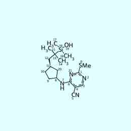 CSc1ncc(C#N)c(NC2CC[C@@H](CC(C)(C)[Si](C)(C)O)C2)n1